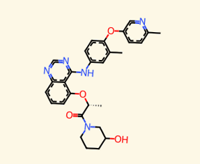 Cc1ccc(Oc2ccc(Nc3ncnc4cccc(O[C@H](C)C(=O)N5CCCC(O)C5)c34)cc2C)cn1